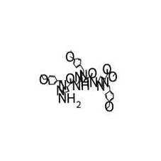 COC(=O)c1cc(NC(=O)c2cc(NC(=O)c3cc(N)nn3Cc3ccc(OC)cc3)nn2Cc2ccc(OC)cc2)nn1Cc1ccc(OC)cc1